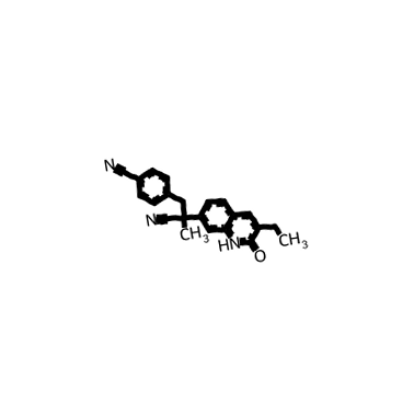 CCc1cc2ccc(C(C)(C#N)Cc3ccc(C#N)cc3)cc2[nH]c1=O